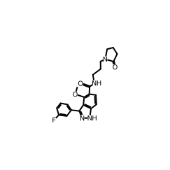 COc1c(C(=O)NCCCN2CCCC2=O)ccc2[nH]nc(-c3cccc(F)c3)c12